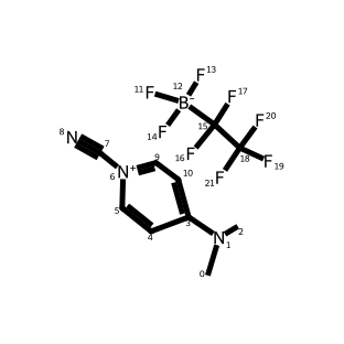 CN(C)c1cc[n+](C#N)cc1.F[B-](F)(F)C(F)(F)C(F)(F)F